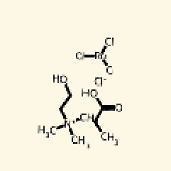 CCC(=O)O.C[N+](C)(C)CCO.[Cl-].[Cl][Ru]([Cl])[Cl]